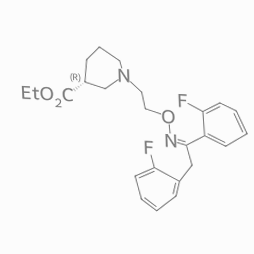 CCOC(=O)[C@@H]1CCCN(CCON=C(Cc2ccccc2F)c2ccccc2F)C1